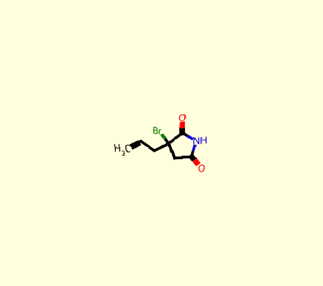 C=CCC1(Br)CC(=O)NC1=O